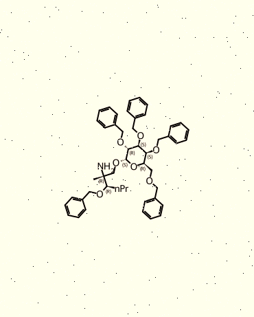 CCC[C@@H](OCc1ccccc1)[C@](C)(N)CO[C@H]1O[C@H](COCc2ccccc2)[C@H](OCc2ccccc2)[C@H](OCc2ccccc2)[C@H]1OCc1ccccc1